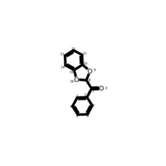 O=C(c1ccccc1)C1Oc2ccccc2O1